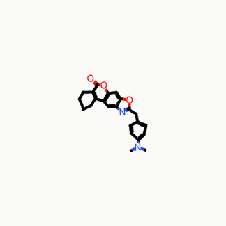 CN(C)c1ccc(Cc2nc3cc4c5c(c(=O)oc4cc3o2)CCCC5)cc1